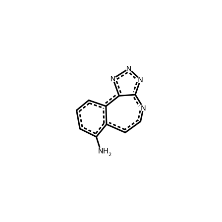 Nc1cccc2c3nnnc-3nccc12